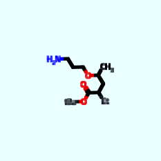 CCC(CC(C)OCCCN)C(=O)OC(C)(C)C